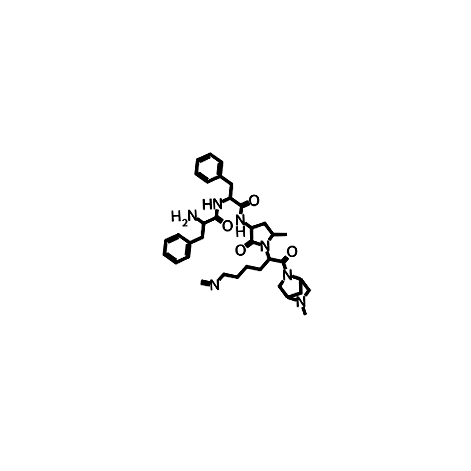 C=NCCCCC(C(=O)N1CC2CC1CN2C)N1C(=O)C(NC(=O)C(Cc2ccccc2)NC(=O)C(N)Cc2ccccc2)CC1C